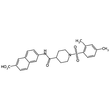 Cc1ccc(S(=O)(=O)N2CCC(C(=O)Nc3ccc4cc(C(=O)O)ccc4c3)CC2)c(C)c1